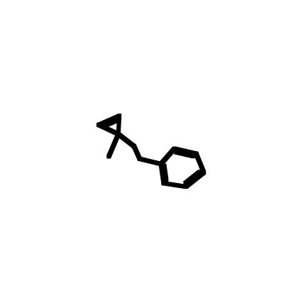 CC1(CCc2ccccc2)C=C1